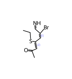 CCSC(=C\C(C)=O)/C=C(/Br)C=N